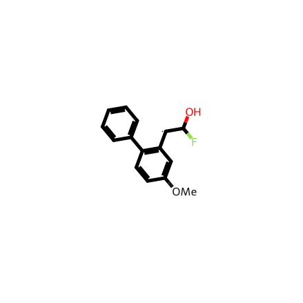 COc1ccc(-c2ccccc2)c([CH]C(O)F)c1